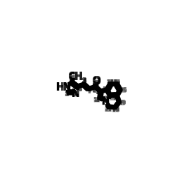 Cc1[nH]cnc1/C=C/C(=O)c1cn2c3c(cccc13)CCC2